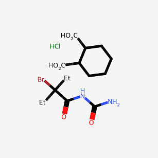 CCC(Br)(CC)C(=O)NC(N)=O.Cl.O=C(O)C1CCCCC1C(=O)O